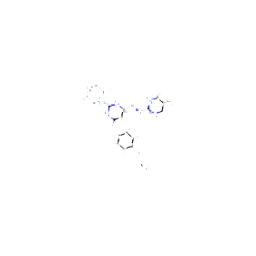 NSCc1ccc(Oc2cc(CNc3ncc(Cl)cn3)nc(N3CCNCC3)n2)cc1